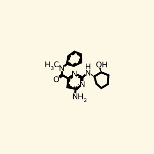 CN(C(=O)c1cc(N)nc(N[C@H]2CCCC[C@@H]2O)n1)c1ccccc1